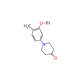 CCOc1cc(N2CCC(=O)CC2)ccc1C